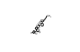 CCCCCCCC(C(=O)O)[C@H]1CCCN(C(=O)[C@@H](C)Oc2ccc3c(-c4ccc(F)cc4Cl)cc(=O)oc3c2)C1